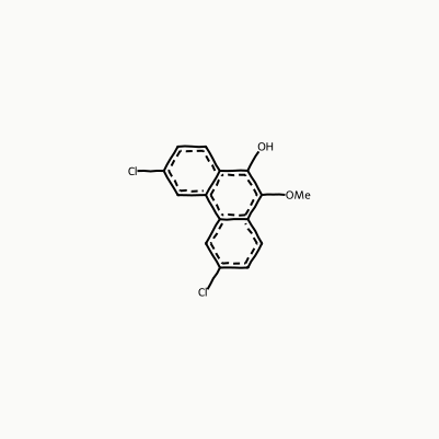 COc1c(O)c2ccc(Cl)cc2c2cc(Cl)ccc12